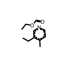 CCOC=O.CCc1cnccc1C